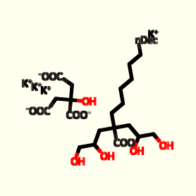 CCCCCCCCCCCCCCCCC(CC(O)CO)(CC(O)CO)C(=O)[O-].O=C([O-])CC(O)(CC(=O)[O-])C(=O)[O-].[K+].[K+].[K+].[K+]